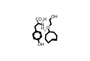 N[C@@H](Cc1ccc(O)cc1)C(=O)O.OCCOC1CC/C=C/CCC1